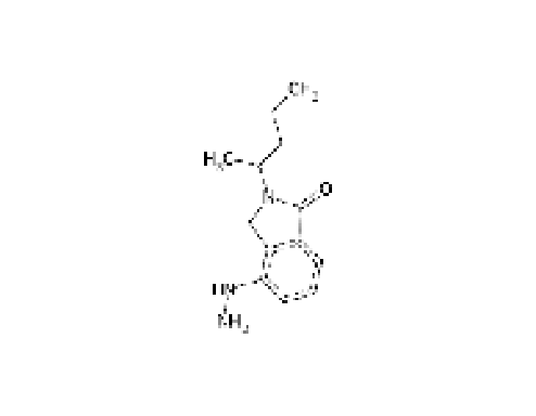 CCCC(C)N1Cc2c(NN)cccc2C1=O